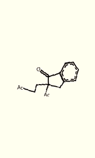 CC(=O)CCC1(C(C)=O)Cc2ccccc2C1=O